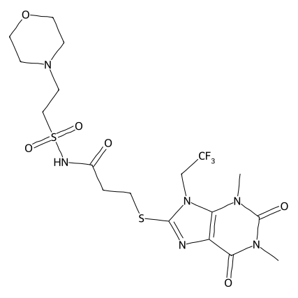 Cn1c(=O)c2nc(SCCC(=O)NS(=O)(=O)CCN3CCOCC3)n(CC(F)(F)F)c2n(C)c1=O